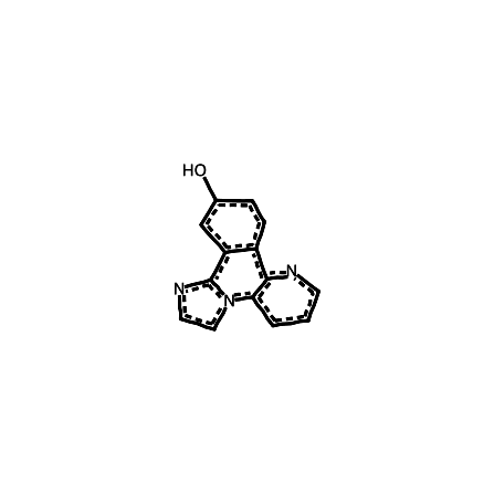 Oc1ccc2c(c1)c1nccn1c1cccnc21